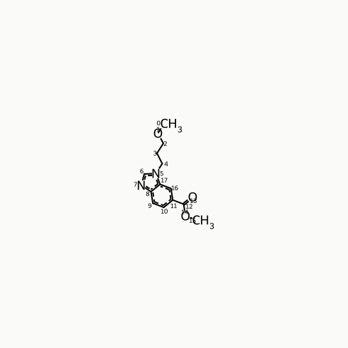 COCCCn1cnc2ccc(C(=O)OC)cc21